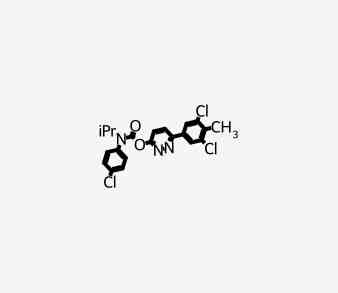 Cc1c(Cl)cc(-c2ccc(OC(=O)N(c3ccc(Cl)cc3)C(C)C)nn2)cc1Cl